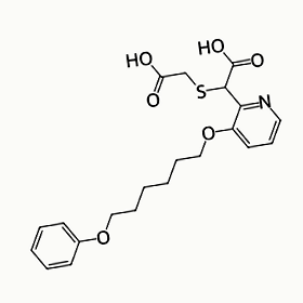 O=C(O)CSC(C(=O)O)c1ncccc1OCCCCCCOc1ccccc1